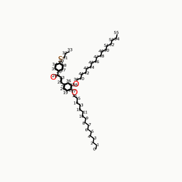 CCCCCCCCCCCCCCCCCOc1ccc(/C=C/C(=O)c2ccc(SCCC)cc2)cc1OCCCCCCCCCCCCCCCCC